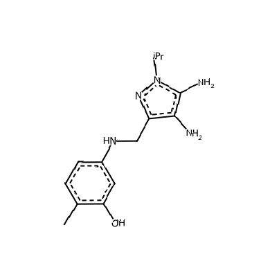 Cc1ccc(NCc2nn(C(C)C)c(N)c2N)cc1O